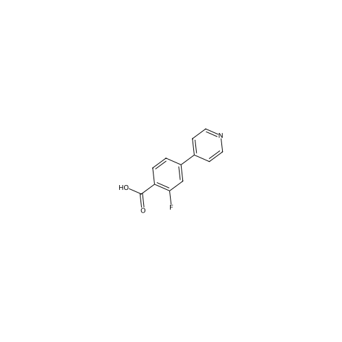 O=C(O)c1ccc(-c2ccncc2)cc1F